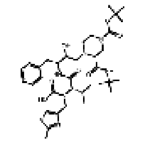 Cc1nc(CN(C(=O)O)[C@H](C(=O)N[C@@H](Cc2ccccc2)[C@@H](O)CN2CCN(C(=O)OC(C)(C)C)C[C@H]2C(=O)NC(C)(C)C)C(C)C)cs1